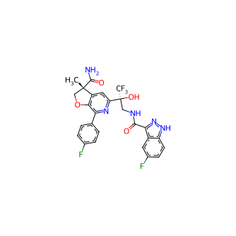 C[C@]1(C(N)=O)COc2c1cc([C@@](O)(CNC(=O)c1n[nH]c3ccc(F)cc13)C(F)(F)F)nc2-c1ccc(F)cc1